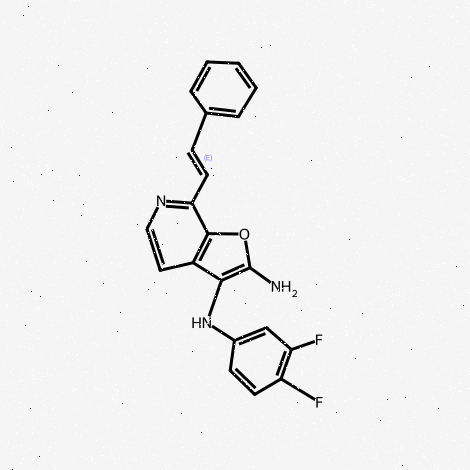 Nc1oc2c(/C=C/c3ccccc3)nccc2c1Nc1ccc(F)c(F)c1